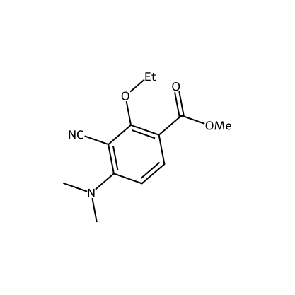 CCOc1c(C(=O)OC)ccc(N(C)C)c1C#N